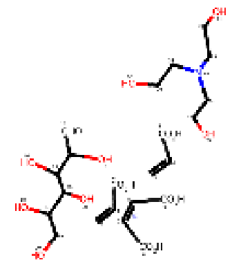 C=CC(=O)O.C=CC(=O)O.O=C(O)/C=C\C(=O)O.O=CC(O)C(O)C(O)C(O)CO.OCCN(CCO)CCO